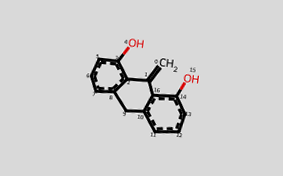 C=C1c2c(O)cccc2Cc2cccc(O)c21